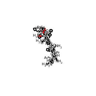 CC(=O)CSC[C@H](NC(=O)[C@H](CCCN)NC(=O)[C@@H](NC(=O)[C@H](CC1CCCCC1)NC(=O)[C@H](CCN)NC(=O)[C@@H](CC(C)C)NC(=O)[C@H](C)N(C)C(=O)[C@H](CCC(N)=O)NC(=O)[C@H](Cc1ccc(-c2ccccc2)cc1)NC(=O)[C@H](CCc1ccccc1)NC(=O)[C@H](Cc1cccc(C(F)(F)F)c1)NC(=O)[C@H](CC(=O)O)NC(=O)[C@H](CCC(N)=O)NC(=O)CCC1CCCCC1)C(C)C)C(=O)N[C@@H](CCN)C(N)=O